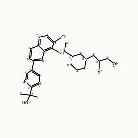 C[C@H](Nc1c(Cl)cnc2ccc(-c3cnc(C(C)(C)O)nc3)cc12)[C@H]1CCCN(CC(O)CO)C1